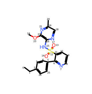 CCc1ccc(-c2ncccc2S(=O)(=O)Nc2ncc(C)nc2OC)cc1